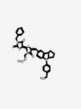 O=COCn1c(=O)/c(=C\c2ccc3c(c2)C2CCCC2N3c2ccc(CO)cc2)s/c1=C1/SC(=S)N(Cc2ccccc2)C1=O